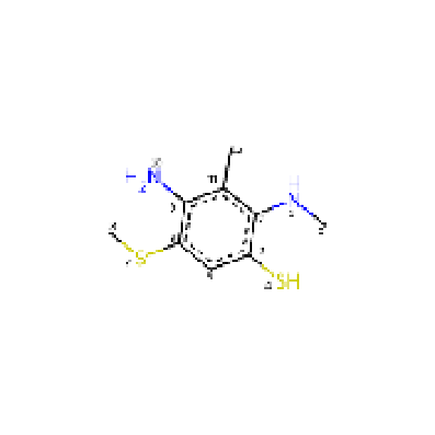 CNc1c(S)cc(SC)c(N)c1C